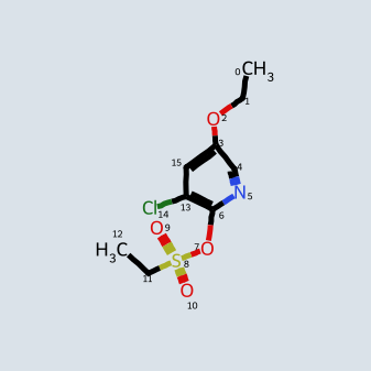 CCOc1cnc(OS(=O)(=O)CC)c(Cl)c1